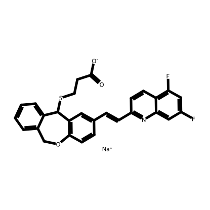 O=C([O-])CCSC1c2ccccc2COc2ccc(C=Cc3ccc4c(F)cc(F)cc4n3)cc21.[Na+]